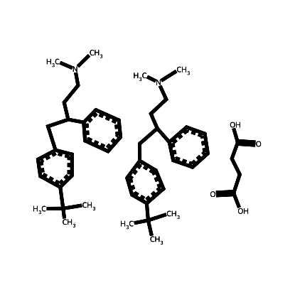 CN(C)CCC(Cc1ccc(C(C)(C)C)cc1)c1ccccc1.CN(C)CCC(Cc1ccc(C(C)(C)C)cc1)c1ccccc1.O=C(O)CCC(=O)O